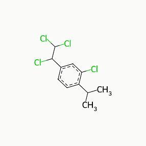 CC(C)c1ccc(C(Cl)C(Cl)Cl)cc1Cl